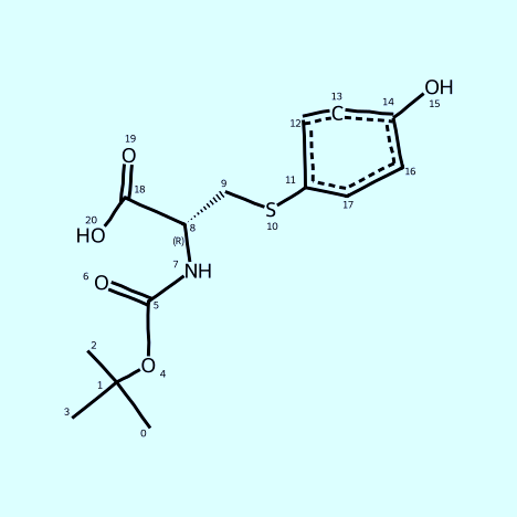 CC(C)(C)OC(=O)N[C@@H](CSc1ccc(O)cc1)C(=O)O